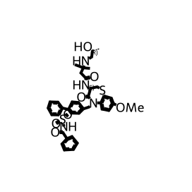 COc1ccc2c(c1)SC[C@@H](NC(=O)CC(C)(C)NC[C@@H](C)O)C(=O)N2Cc1ccc(-c2ccccc2S(=O)(=O)NC(=O)c2ccccc2)cc1